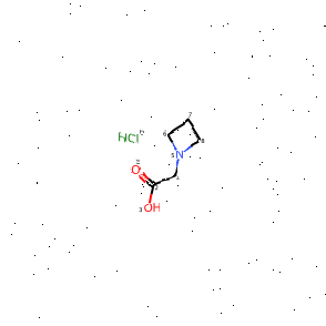 Cl.O=C(O)CN1CCC1